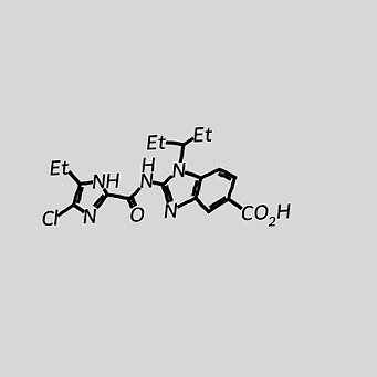 CCc1[nH]c(C(=O)Nc2nc3cc(C(=O)O)ccc3n2C(CC)CC)nc1Cl